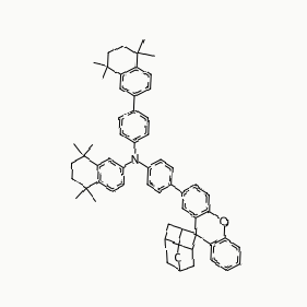 CC1(C)CCC(C)(C)c2cc(-c3ccc(N(c4ccc(-c5ccc6c(c5)C5(c7ccccc7O6)C6CC7CC8CC5C86C7)cc4)c4ccc5c(c4)C(C)(C)CCC5(C)C)cc3)ccc21